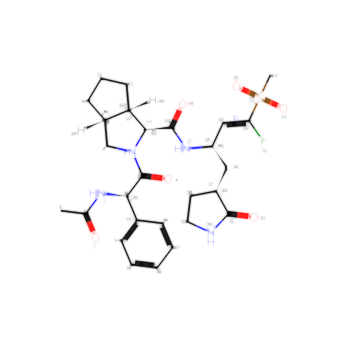 CC(=O)N[C@@H](C(=O)N1C[C@@H]2CCC[C@@H]2[C@H]1C(=O)N[C@@H](/C=C(\F)S(C)(=O)=O)C[C@@H]1CCNC1=O)c1ccccc1